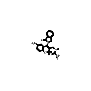 CCNC(=S)N(C)CC1=C(N2Cc3ccccc3C2=O)c2cc([N+](=O)[O-])ccc2OC1(C)C